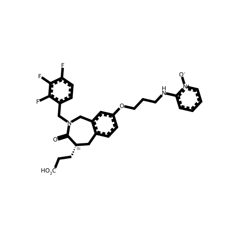 O=C(O)CC[C@H]1Cc2ccc(OCCCNc3cccc[n+]3[O-])cc2CN(Cc2ccc(F)c(F)c2F)C1=O